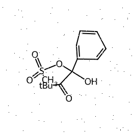 CC(C)(C)C(=O)C(O)(OS(C)(=O)=O)c1ccccc1